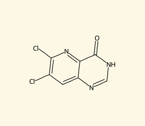 O=c1[nH]cnc2cc(Cl)c(Cl)nc12